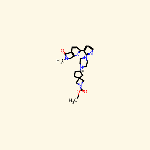 CCOC(=O)N1CC2(CC[C@@H](N3CCN(c4ncccc4-c4ccc5c(n4)CN(C)C5=O)CC3)C2)C1